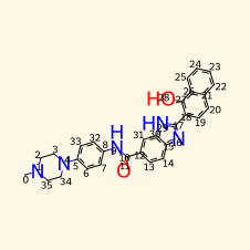 CN1CCN(c2ccc(NC(=O)c3ccc4nc(-c5ccc6ccccc6c5O)[nH]c4c3)cc2)CC1